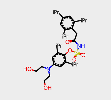 CC(C)c1cc(C(C)C)c(CC(=O)NS(=O)(=O)Oc2c(C(C)C)cc(N(CCO)CCO)cc2C(C)C)c(C(C)C)c1